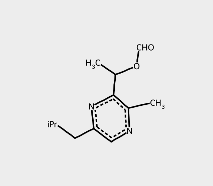 Cc1ncc(CC(C)C)nc1C(C)OC=O